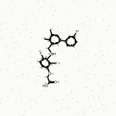 Cc1cc(-c2cccc(F)c2)cc(CNc2c(F)ccc(OCC(=O)O)c2F)c1C